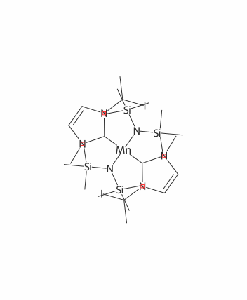 CC(I)N1C=CN(C)[CH]1[Mn]([CH]1N(C)C=CN1C(C)I)([N]([Si](C)(C)C)[Si](C)(C)C)[N]([Si](C)(C)C)[Si](C)(C)C